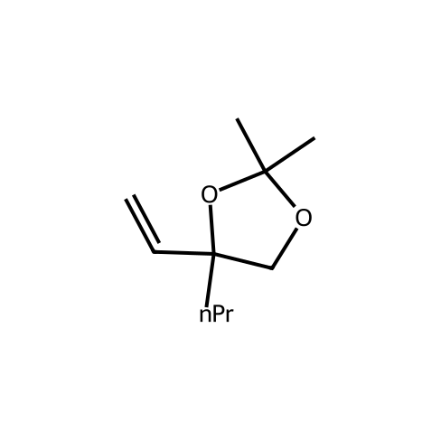 C=CC1(CCC)COC(C)(C)O1